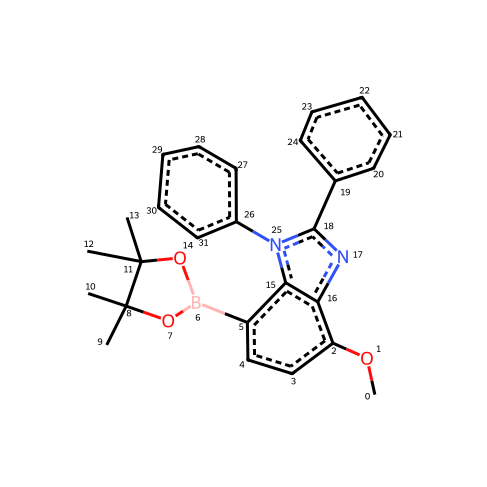 COc1ccc(B2OC(C)(C)C(C)(C)O2)c2c1nc(-c1ccccc1)n2-c1ccccc1